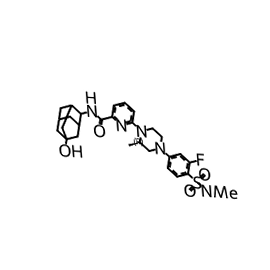 CNS(=O)(=O)c1ccc(N2CCN(c3cccc(C(=O)NC4C5CC6CC4CC(O)(C6)C5)n3)[C@H](C)C2)cc1F